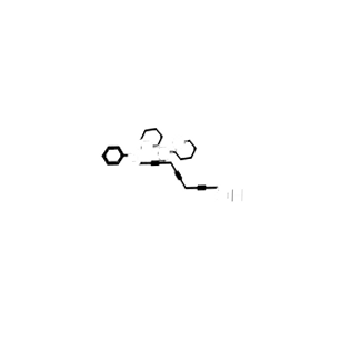 C1CCC(OC2CCCCO2)OC1.OCC#CCC#CCC#CCSc1ccccc1